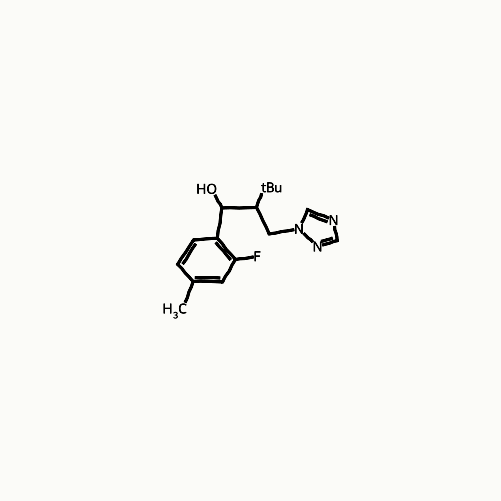 Cc1ccc(C(O)C(Cn2cncn2)C(C)(C)C)c(F)c1